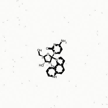 Nc1ccn([C@]2([n+]3ccc4ccc5[nH]cccc5c43)O[C@H](CO)[C@@H](O)[C@H]2O)c(=O)n1